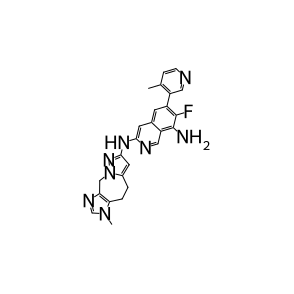 Cc1ccncc1-c1cc2cc(Nc3cc4n(n3)Cc3ncn(C)c3CC4)ncc2c(N)c1F